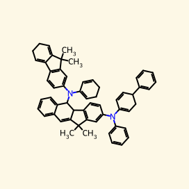 CC1(C)C2=CCCC=C2c2ccc(N(C3=CCCC=C3)C3c4ccccc4C=C4C3c3ccc(N(C5=CCC(c6ccccc6)C=C5)c5ccccc5)cc3C4(C)C)cc21